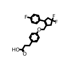 O=C(O)CCc1ccc(OCC2=C(c3ccc(F)cc3)CC(F)(F)C2)cc1